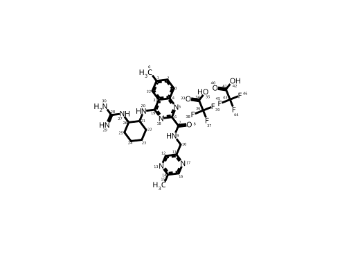 Cc1ccc2nc(C(=O)NCc3cnc(C)cn3)nc(NC3CCCCC3NC(=N)N)c2c1.O=C(O)C(F)(F)F.O=C(O)C(F)(F)F